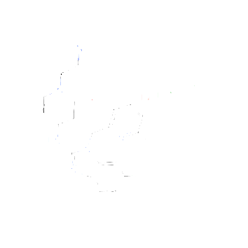 CC(C)O.Cc1ccc(O)c(Cn2c(NC3CCN(CCN)CC3)nc3c(C)cc(Cl)cc32)n1.Cl.Cl.Cl.Cl